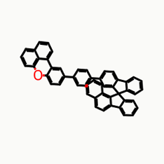 c1ccc2c(c1)-c1ccc(-c3ccc(-c4ccc5c(c4)-c4cccc6cccc(c46)O5)cc3)cc1C21c2ccccc2-c2ccc3ccccc3c21